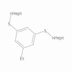 [CH2]Cc1cc(SCCCCCCC)cc(SCCCCCCC)c1